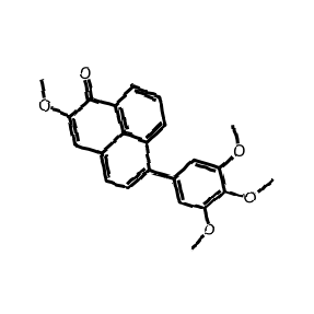 COC1=Cc2ccc(-c3cc(OC)c(OC)c(OC)c3)c3cccc(c23)C1=O